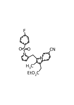 CCOC(=O)Cc1c(C)c(Cc2cccn2S(=O)(=O)c2ccc(F)cc2)n2cc(C#N)ccc12